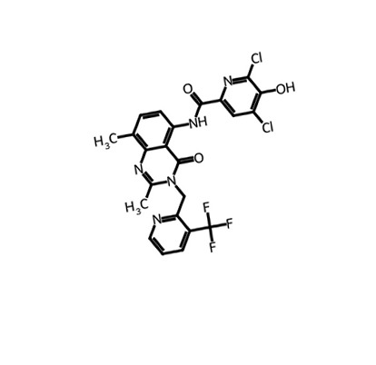 Cc1ccc(NC(=O)c2cc(Cl)c(O)c(Cl)n2)c2c(=O)n(Cc3ncccc3C(F)(F)F)c(C)nc12